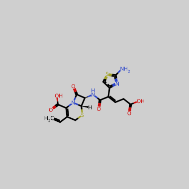 C=CC1=C(C(=O)O)N2C(=O)[C@@H](NC(=O)C(=CCC(=O)O)c3csc(N)n3)[C@@H]2SC1